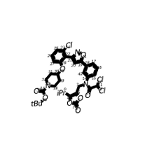 CC(C)c1oc(=O)oc1CN(C(=O)C(Cl)Cl)c1cccc(-c2cc(-c3c(Cl)cccc3OC3CCN(C(=O)OC(C)(C)C)CC3)no2)c1